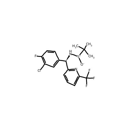 CC(C)(C)[S+]([O-])N[C@H](c1ccc(F)c(Cl)c1)c1cccc(C(F)(F)F)n1